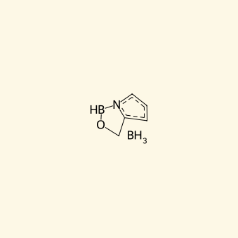 B.B1OCc2cccn21